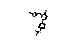 Cc1nnc(Cn2nc(-c3ccc(OC(F)F)cc3)ccc2=O)s1